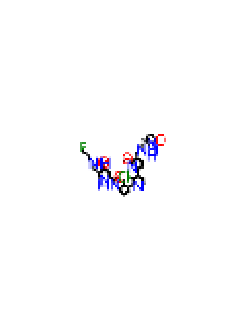 COc1cc(C(=O)Nc2cccc(-c3nccc(-c4ccc(CNC[C@@H]5CCC(=O)N5)c(OC)n4)c3Cl)c2C)ncc1CNCCCF